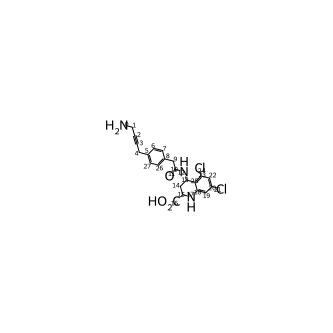 NCC#CCc1ccc(CC(=O)NC2CC(C(=O)O)Nc3cc(Cl)cc(Cl)c32)cc1